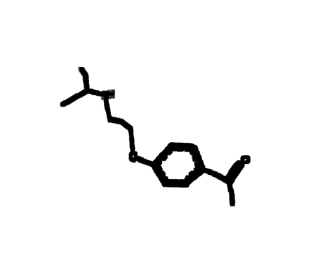 CC(=O)c1ccc(OCCNC(C)C)cc1